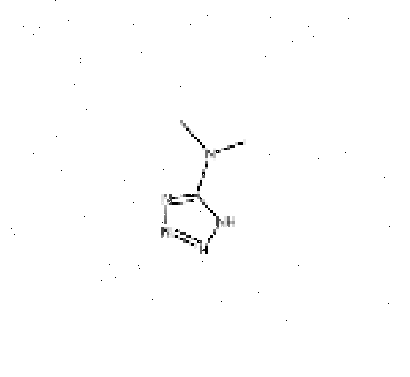 CN(C)c1nnn[nH]1